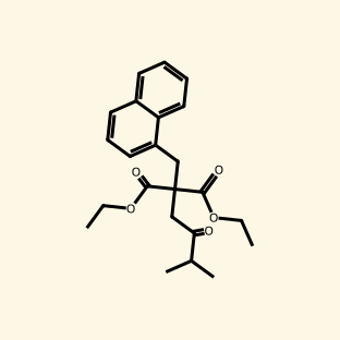 CCOC(=O)C(CC(=O)C(C)C)(Cc1cccc2ccccc12)C(=O)OCC